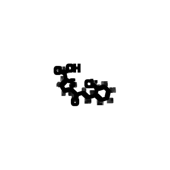 O=C(O)c1ccc(C(=O)C=Cc2ccccc2Cl)s1